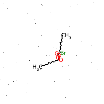 CCCCCCCCCCCC(=O)OOC(=O)C(Br)CCCCCCCCCC